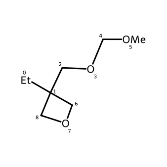 CCC1(COCOC)COC1